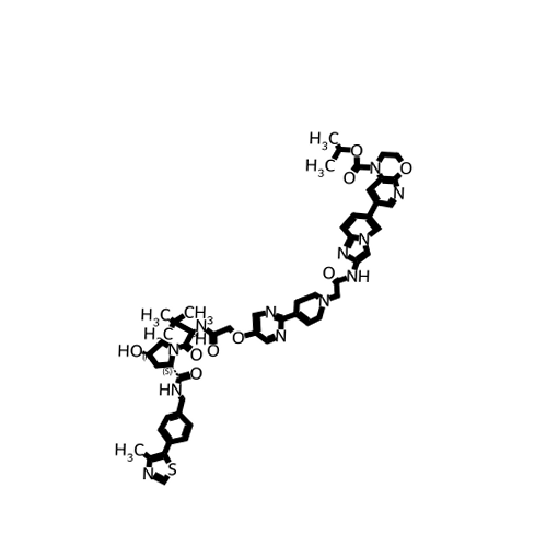 Cc1ncsc1-c1ccc(CNC(=O)[C@@H]2C[C@@H](O)CN2C(=O)[C@@H](NC(=O)COc2cnc(C3=CCN(CC(=O)Nc4cn5cc(-c6cnc7c(c6)N(C(=O)OC(C)C)CCO7)ccc5n4)CC3)nc2)C(C)(C)C)cc1